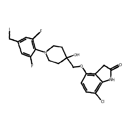 O=C1Cc2c(OCC3(O)CCN(c4c(F)cc(CI)cc4F)CC3)ccc(Cl)c2N1